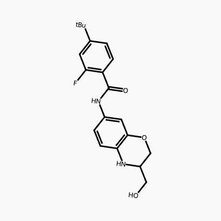 CC(C)(C)c1ccc(C(=O)Nc2ccc3c(c2)OCC(CO)N3)c(F)c1